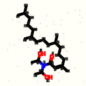 CC(=CC(=O)N(C(C)O)C(C)O)CCCC(C)CCCC(C)CCCC(C)C